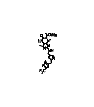 CO[C@H](C)[C@H]1C(=O)Nc2c(C)nc(NCc3cnn(Cc4cc(C(F)(F)F)nn4C)c3)nc2N1C